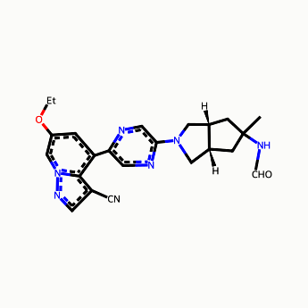 CCOc1cc(-c2cnc(N3C[C@@H]4CC(C)(NC=O)C[C@@H]4C3)cn2)c2c(C#N)cnn2c1